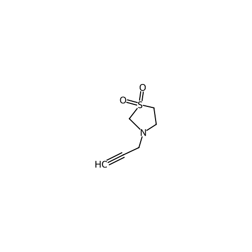 C#CCN1CCS(=O)(=O)C1